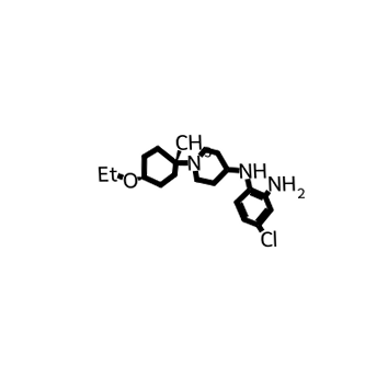 CCO[C@H]1CC[C@](C)(N2CCC(Nc3ccc(Cl)cc3N)CC2)CC1